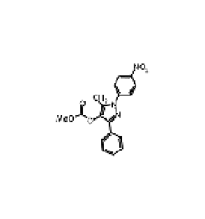 COC(=O)Oc1c(-c2ccccc2)nn(-c2ccc([N+](=O)[O-])cc2)c1C